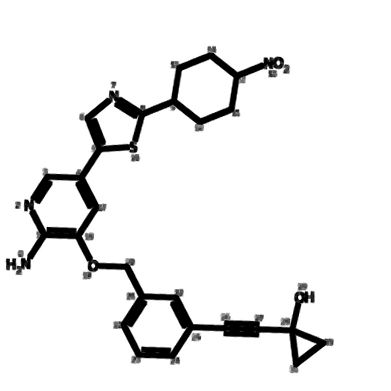 Nc1ncc(-c2cnc(C3CCC([N+](=O)[O-])CC3)s2)cc1OCc1cccc(C#CC2(O)CC2)c1